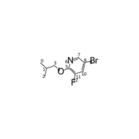 CC(C)COc1ncc(Br)cc1F